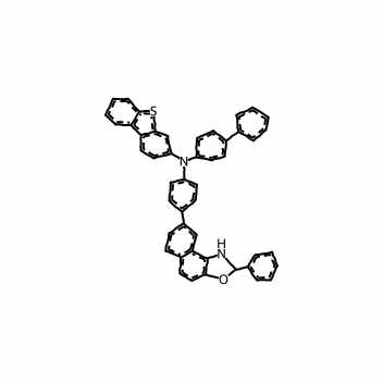 c1ccc(-c2ccc(N(c3ccc(-c4ccc5ccc6c(c5c4)NC(c4ccccc4)O6)cc3)c3ccc4c(c3)sc3ccccc34)cc2)cc1